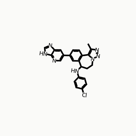 Cc1nnn2c1-c1ccc(-c3cnc4[nH]cnc4c3)cc1C(Nc1ccc(Cl)cc1)CC2